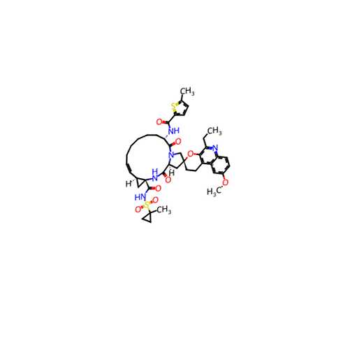 CCc1nc2ccc(OC)cc2c2c1O[C@]1(CC2)C[C@H]2C(=O)N[C@]3(C(=O)NS(=O)(=O)C4(C)CC4)C[C@H]3C=CCCCCC[C@H](NC(=O)c3ccc(C)s3)C(=O)N2C1